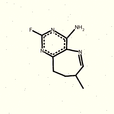 CC1C=Nc2c(N)nc(F)nc2CC1